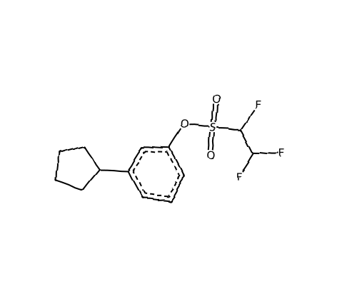 O=S(=O)(Oc1cccc(C2CCCC2)c1)C(F)C(F)F